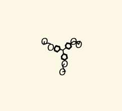 c1cc(C(c2ccc(OCC3CO3)cc2)c2ccc(OC3CO3)cc2)ccc1OCC1CO1